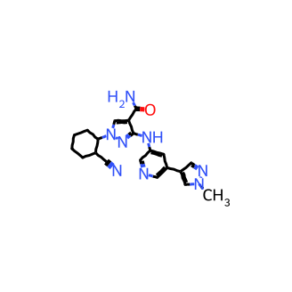 Cn1cc(-c2cncc(Nc3nn(C4CCCCC4C#N)cc3C(N)=O)c2)cn1